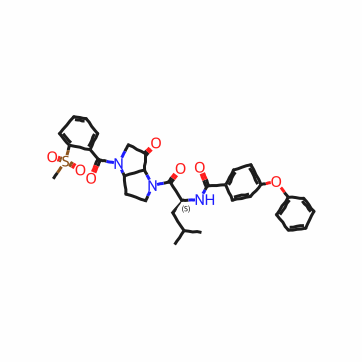 CC(C)C[C@H](NC(=O)c1ccc(Oc2ccccc2)cc1)C(=O)N1CCC2C1C(=O)CN2C(=O)c1ccccc1S(C)(=O)=O